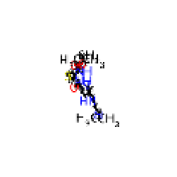 CN(C)CCCNCc1ccc(C(=O)Nc2cscc2NC(=O)OC(C)(C)C)nc1